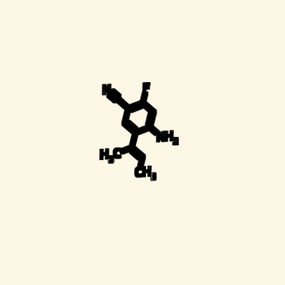 CC=C(C)c1cc(C#N)c(F)cc1N